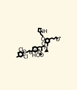 COCCCc1cc(CN(C(=O)C(CNC(=O)O)Cc2ccc(OCCOc3c(Cl)cc(C)cc3Cl)cc2)C2CC2)cc(OCCC2CCCN2)c1